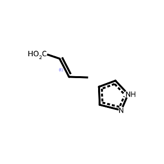 C/C=C/C(=O)O.c1cn[nH]c1